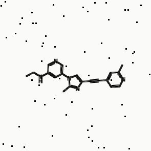 CCNc1cncc(-n2cc(C#Cc3ccnc(C)c3)nc2C)c1